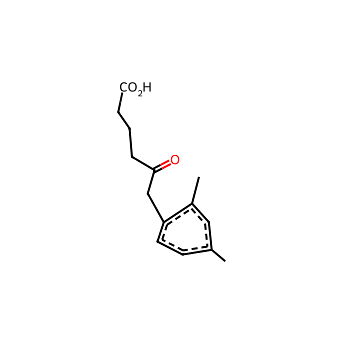 Cc1ccc(CC(=O)CCCC(=O)O)c(C)c1